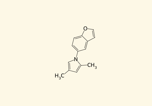 Cc1cc(C)n(-c2ccc3occc3c2)c1